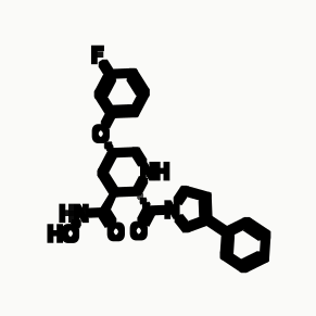 O=C(NO)[C@H]1C[C@H](Oc2cccc(F)c2)CN[C@@H]1C(=O)N1CC=C(c2ccccc2)C1